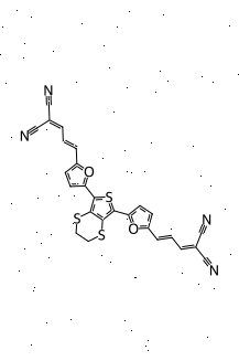 N#CC(C#N)=C/C=C/c1ccc(-c2sc(-c3ccc(/C=C/C=C(C#N)C#N)o3)c3c2SCCS3)o1